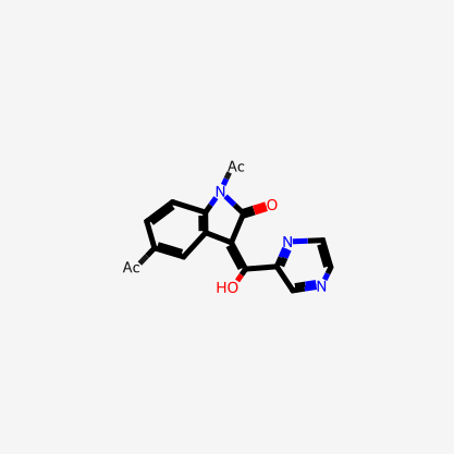 CC(=O)c1ccc2c(c1)C(=C(O)c1cnccn1)C(=O)N2C(C)=O